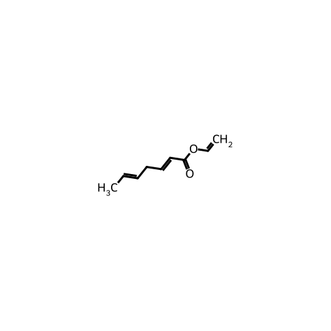 C=COC(=O)C=CCC=CC